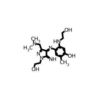 Cc1cc(N=C2C(=N)N(CCO)N=C2CN(C)C)c(NCCO)cc1O